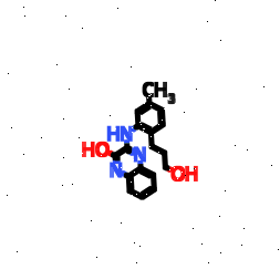 Cc1ccc(CCCO)c(Nc2nc3ccccc3nc2O)c1